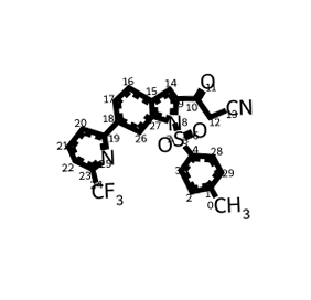 Cc1ccc(S(=O)(=O)n2c(C(=O)CC#N)cc3ccc(-c4cccc(C(F)(F)F)n4)cc32)cc1